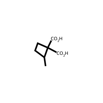 CC1CCC1(C(=O)O)C(=O)O